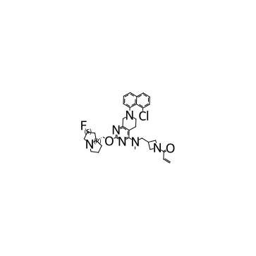 C=CC(=O)N1CC(CN(C)c2nc(OC[C@]34CCCN3C[C@@H](F)C4)nc3c2CCN(c2cccc4cccc(Cl)c24)C3)C1